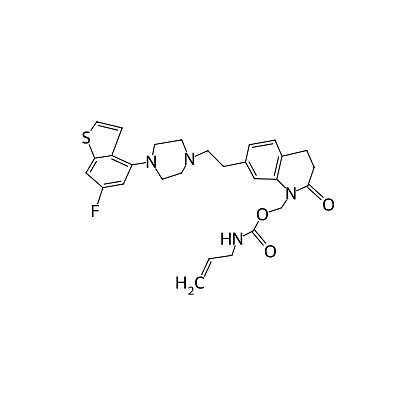 C=CCNC(=O)OCN1C(=O)CCc2ccc(CCN3CCN(c4cc(F)cc5sccc45)CC3)cc21